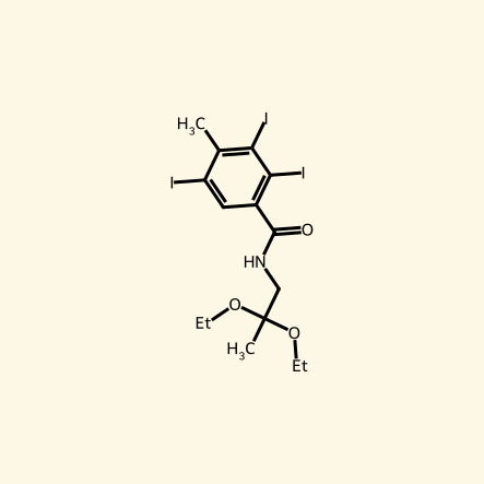 CCOC(C)(CNC(=O)c1cc(I)c(C)c(I)c1I)OCC